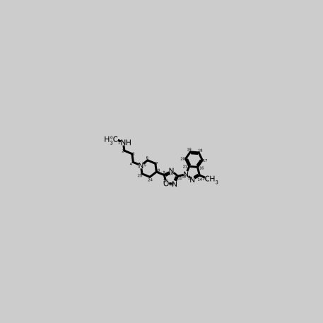 CNCCCN1CCC(c2nc(-n3nc(C)c4ccccc43)no2)CC1